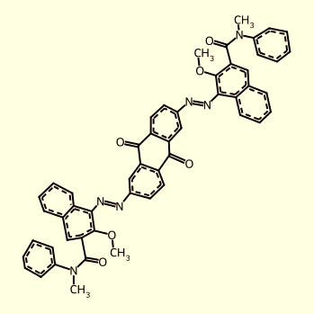 COc1c(C(=O)N(C)c2ccccc2)cc2ccccc2c1N=Nc1ccc2c(c1)C(=O)c1ccc(N=Nc3c(OC)c(C(=O)N(C)c4ccccc4)cc4ccccc34)cc1C2=O